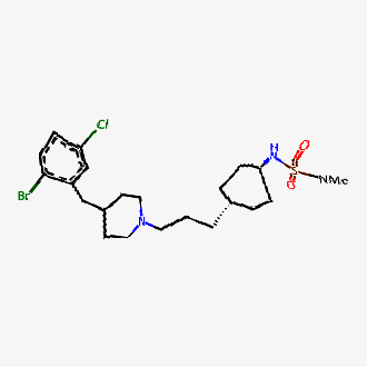 CNS(=O)(=O)N[C@H]1CC[C@H](CCCN2CCC(Cc3cc(Cl)ccc3Br)CC2)CC1